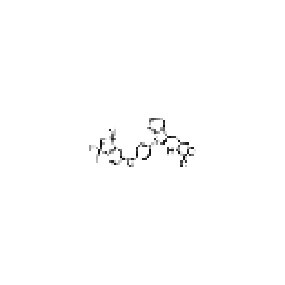 N#Cc1cc(Oc2ccc(-n3cc(CC4COC(=O)N4)c4ccccc43)cc2)ccc1C(F)(F)F